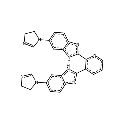 C1=NCCN1c1ccc2nc(-c3cccnc3-c3nc4ccc(N5C=NCC5)cc4[nH]3)[nH]c2c1